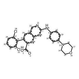 O=C(O)c1nc2nc(Nc3ccc(N4CCOCC4)cc3)ncc2cc1-c1c(Cl)cccc1Cl